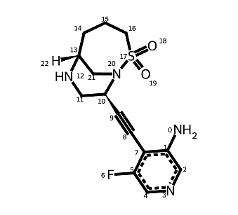 Nc1cncc(F)c1C#C[C@H]1CN[C@@H]2CCCS(=O)(=O)N1C2